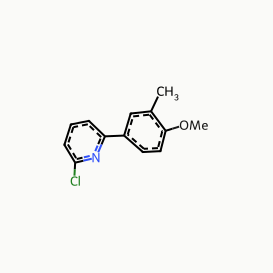 COc1ccc(-c2cccc(Cl)n2)cc1C